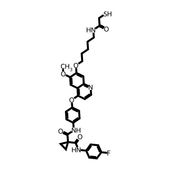 COc1cc2c(Oc3ccc(NC(=O)C4(C(=O)Nc5ccc(F)cc5)CC4)cc3)ccnc2cc1OCCCCCNC(=O)CS